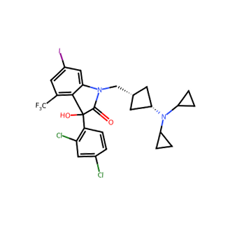 O=C1N(C[C@H]2C[C@@H](N(C3CC3)C3CC3)C2)c2cc(I)cc(C(F)(F)F)c2C1(O)c1ccc(Cl)cc1Cl